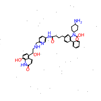 NC1CCC(N(C(=O)O)c2cc(CCCC(=O)Nc3ccc(CNC[C@H](O)c4ccc(O)c5[nH]c(=O)ccc45)nc3)ccc2-c2ccccc2)CC1